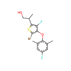 Cc1cc(F)cc(C)c1Oc1c(Br)sc(C(C)CO)c1F